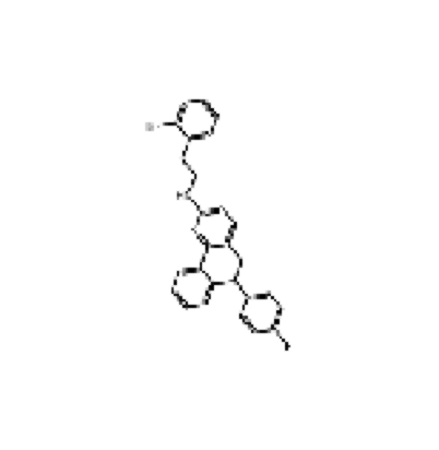 Fc1ccc(C2Cc3cnc(NCCc4ccccc4Br)nc3-c3ccccc32)cc1